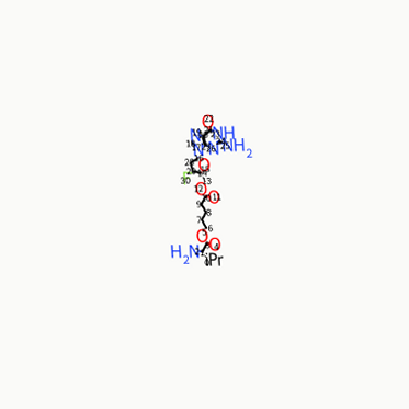 CC(C)[C@H](N)C(=O)OCCCCC(=O)OC[C@H]1O[C@@H](n2cnc3c(=O)[nH]c(N)nc32)C[C@@H]1F